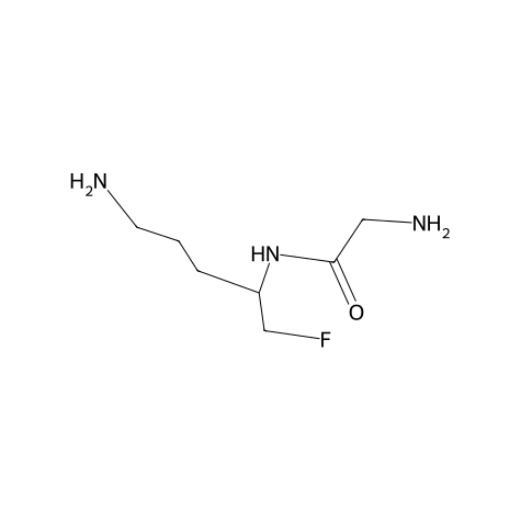 NCCCC(CF)NC(=O)CN